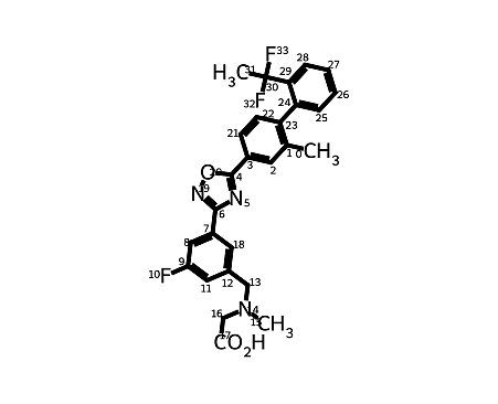 Cc1cc(-c2nc(-c3cc(F)cc(CN(C)CC(=O)O)c3)no2)ccc1-c1ccccc1C(C)(F)F